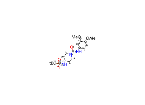 COc1ccc(NC(=O)N2CCC(NS(=O)(=O)C(C)(C)C)CC2)cc1OC